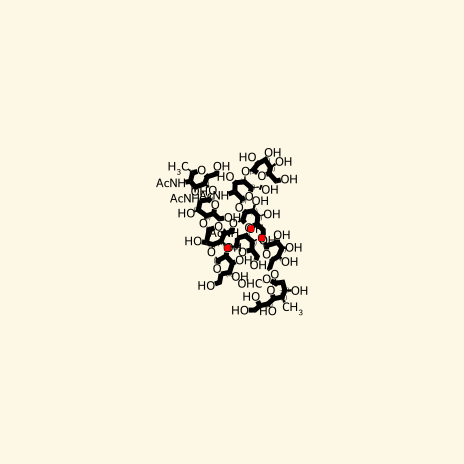 CC(=O)NC1C(O)[C@H](O[C@@H]2OC(CO)[C@H](O)[C@H](O)C2O)[C@H](CO)O[C@H]1OC1[C@@H](OCC2O[C@@H](O[C@@H]3C(CO)O[C@@H](O[C@@H]4C(CO)O[C@@H](C)C(NC(C)=O)[C@H]4O)C(NC(C)=O)[C@H]3O)C(O)[C@@H](O[C@H]3OC(CO)[C@@H](O)C(O)C3O[C@@H]3OC(CO)[C@@H](O[C@@H]4OC(CO[C@]5(OC=O)C[C@@H](O)[C@@H](C)C([C@H](O)C(O)CO)O5)[C@H](O)[C@H](O)C4O)[C@H](O)C3NC(C)=O)[C@@H]2O)OC(CO)[C@@H](O)[C@@H]1O